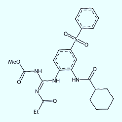 CCC(=O)N=C(NC(=O)OC)Nc1ccc(S(=O)(=O)c2ccccc2)cc1NC(=O)C1CCCCC1